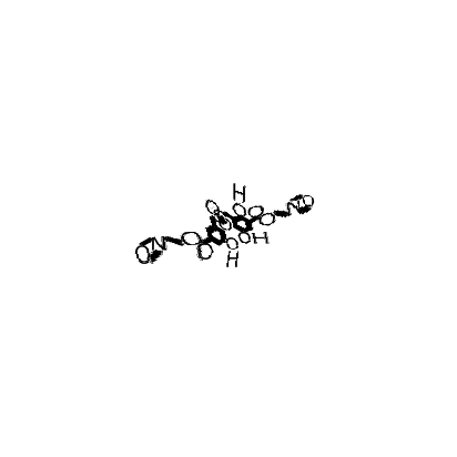 O=C(OCCN1CCOCC1)c1cc(O)cc(CS(=O)(=O)Cc2cc(O)cc(C(=O)OCCN3CCOCC3)c2O)c1